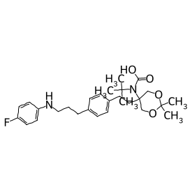 CC1(C)OCC(CCc2ccc(CCCNc3ccc(F)cc3)cc2)(N(C(=O)O)C(C)(C)C)CO1